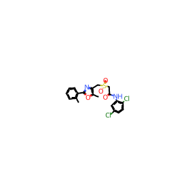 Cc1ccccc1-c1nc(CS(=O)(=O)CC(=O)Nc2cc(Cl)ccc2Cl)c(C)o1